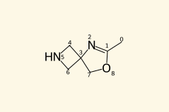 CC1=NC2(CNC2)CO1